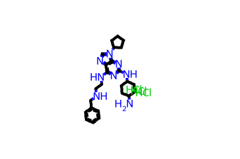 Cl.Cl.Cl.NC1CCC(Nc2nc(NCCNCc3ccccc3)c3ncn(C4CCCC4)c3n2)CC1